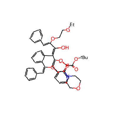 CCOCCOC(=Cc1ccccc1)C(O)=C(C(=Cc1ccccc1)OCC(=O)OC(C)(C)C)c1ccccc1C(=Cc1ccccc1)OCC(=O)N1CCOCC1